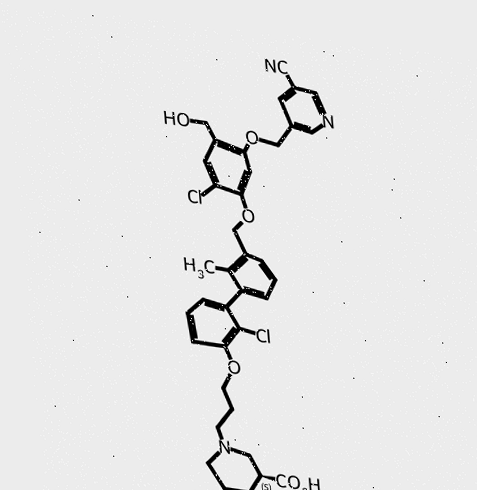 Cc1c(COc2cc(OCc3cncc(C#N)c3)c(CO)cc2Cl)cccc1-c1cccc(OCCCN2CCC[C@H](C(=O)O)C2)c1Cl